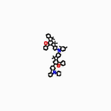 Cc1ccc(N(c2ccc3c(c2)C(C)(C)c2cc(-c4ccc5c6ccccc6n(-c6ccccc6)c5c4)c4oc5ccccc5c4c2-3)c2ccc3c(c2)C(C)(C)c2c4c(c5oc6ccccc6c5c2-3)-c2ccccc2C4(C)C)c(C)c1